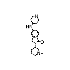 O=C1c2ccc(NC3CCNCC3)cc2CN1C1CCCNC1